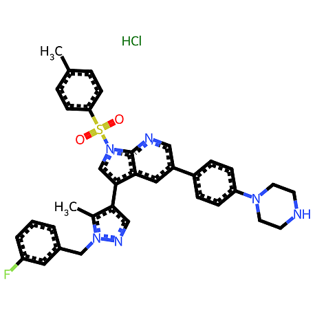 Cc1ccc(S(=O)(=O)n2cc(-c3cnn(Cc4cccc(F)c4)c3C)c3cc(-c4ccc(N5CCNCC5)cc4)cnc32)cc1.Cl